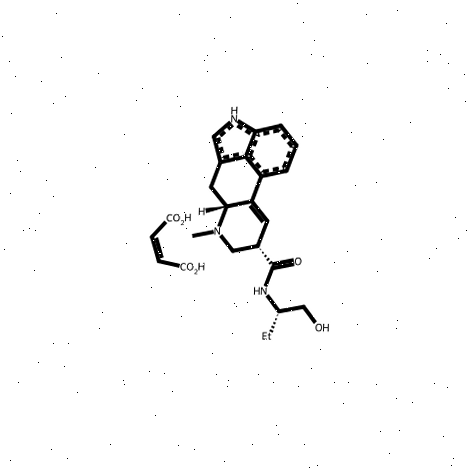 CC[C@@H](CO)NC(=O)[C@H]1C=C2c3cccc4[nH]cc(c34)C[C@H]2N(C)C1.O=C(O)/C=C\C(=O)O